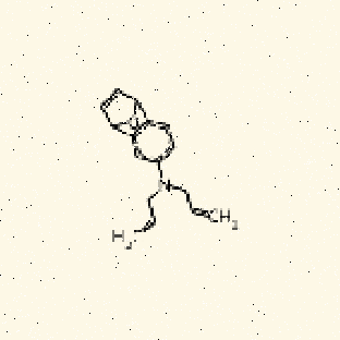 C=CCN(CC=C)c1ccc2c(c1)C1C=CC2O1